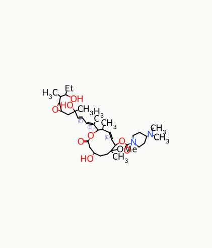 CCC(O)C(C)C1OC1CC(C)(O)/C=C/C=C(\C)C1OC(=O)CC(O)CCC(C)(OC)C(OC(=O)N2CCC(N(C)C)CC2)/C=C/C1C